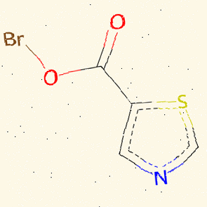 O=C(OBr)c1cncs1